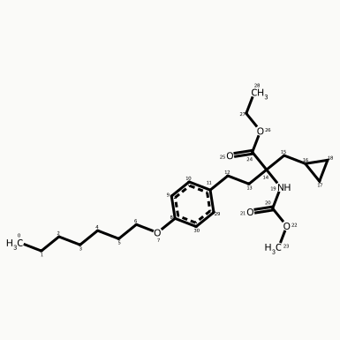 CCCCCCCOc1ccc(CCC(CC2CC2)(NC(=O)OC)C(=O)OCC)cc1